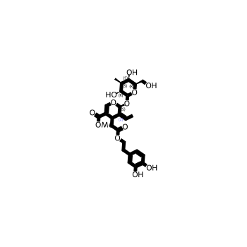 C/C=C1/C(CC(=O)OCCc2ccc(O)c(O)c2)C(C(=O)OC)=CO[C@H]1OC1O[C@H](CO)[C@@H](O)[C@H](C)[C@H]1O